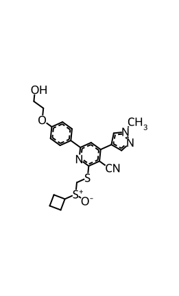 Cn1cc(-c2cc(-c3ccc(OCCO)cc3)nc(SC[S+]([O-])C3CCC3)c2C#N)cn1